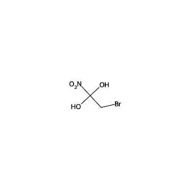 O=[N+]([O-])C(O)(O)CBr